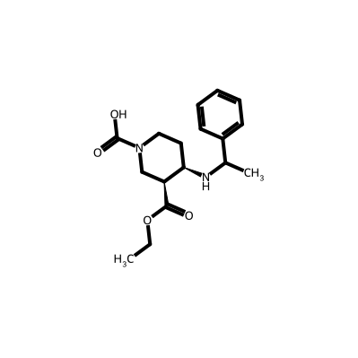 CCOC(=O)[C@H]1CN(C(=O)O)CC[C@H]1NC(C)c1ccccc1